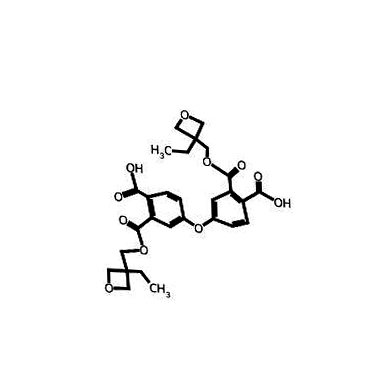 CCC1(COC(=O)c2cc(Oc3ccc(C(=O)O)c(C(=O)OCC4(CC)COC4)c3)ccc2C(=O)O)COC1